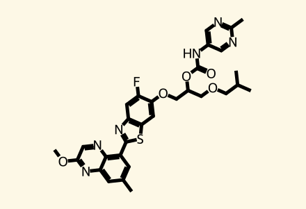 COc1cnc2c(-c3nc4cc(F)c(OCC(COCC(C)C)OC(=O)Nc5cnc(C)nc5)cc4s3)cc(C)cc2n1